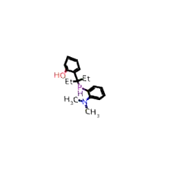 CCC(CC)(Pc1ccccc1N(C)C)c1ccccc1O